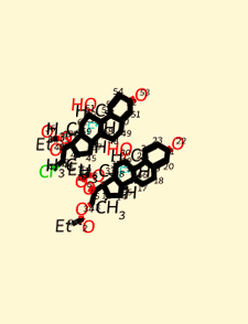 CCC(=O)OCC(=O)[C@@]1(OC(=O)CC)[C@@H](C)C[C@H]2[C@@H]3CCC4=CC(=O)C=C[C@]4(C)[C@@]3(F)[C@@H](O)C[C@@]21C.CCC(=O)O[C@]1(C(=O)CCl)[C@@H](C)C[C@H]2[C@@H]3CCC4=CC(=O)C=C[C@]4(C)[C@@]3(F)[C@@H](O)C[C@@]21C